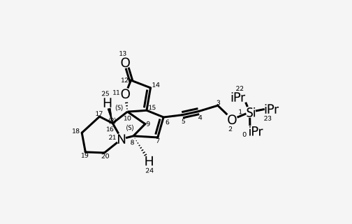 CC(C)[Si](OCC#CC1=C[C@@H]2C[C@@]3(OC(=O)C=C13)[C@H]1CCCCN21)(C(C)C)C(C)C